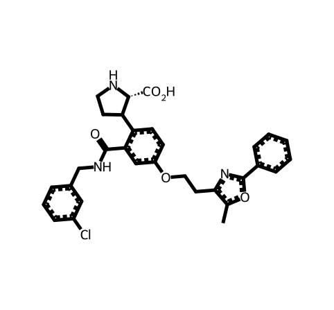 Cc1oc(-c2ccccc2)nc1CCOc1ccc(C2CCN[C@@H]2C(=O)O)c(C(=O)NCc2cccc(Cl)c2)c1